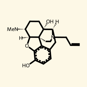 C=CCN1CC[C@]23c4c5ccc(O)c4O[C@H]2[C@H](NC)CC[C@@]3(O)[C@H]1C5